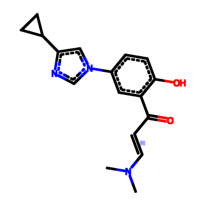 CN(C)/C=C/C(=O)c1cc(-n2cnc(C3CC3)c2)ccc1O